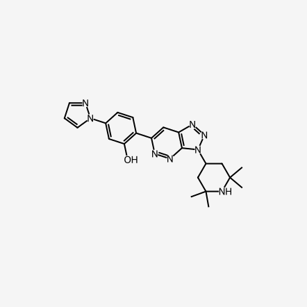 CC1(C)CC(n2nnc3cc(-c4ccc(-n5cccn5)cc4O)nnc32)CC(C)(C)N1